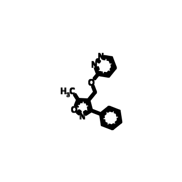 Cc1onc(-c2ccccc2)c1COc1cccnn1